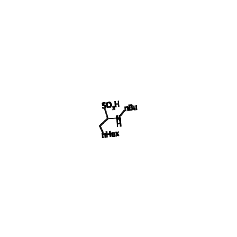 CCCCCCCC(NCCCC)S(=O)(=O)O